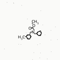 CCOC(=O)CN(Cc1ccccc1)Cc1cccc(C)c1